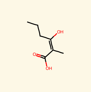 CCCC(O)=C(C)C(=O)O